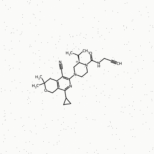 C#CCNC(=O)N1CCN(c2nc(C3CC3)c3c(c2C#N)CC(C)(C)OC3)C[C@H]1C(C)C